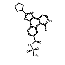 CS(=O)(=O)NC(=O)c1ccc2c(c1)c1c(=O)[nH]ccc1c1[nH]c(C3CCCC3)nc21